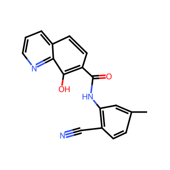 Cc1ccc(C#N)c(NC(=O)c2ccc3cccnc3c2O)c1